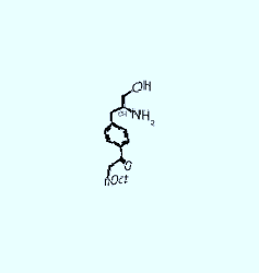 CCCCCCCCCC(=O)c1ccc(C[C@H](N)CO)cc1